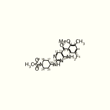 COc1c(C)cc(F)cc1C(=O)c1cnc(NC2CCN(S(C)(=O)=O)CC2)nc1N